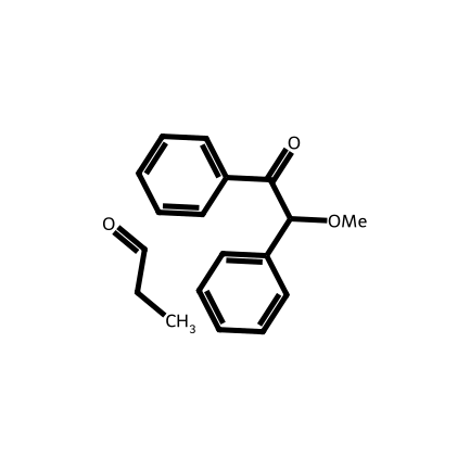 CCC=O.COC(C(=O)c1ccccc1)c1ccccc1